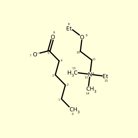 CCCCCC(=O)[O-].CCOCC[N+](C)(C)CC